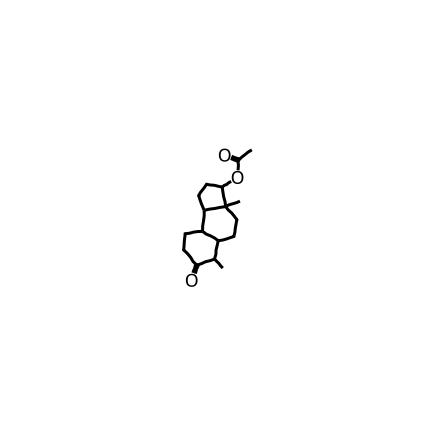 CC(=O)OC1CCC2C3CCC(=O)C(C)C3CCC12C